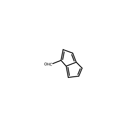 O=CC1=CC=C2C=CC=C12